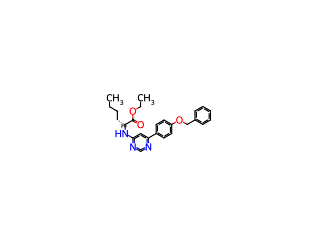 CCCC[C@@H](Nc1cc(-c2ccc(OCc3ccccc3)cc2)ncn1)C(=O)OCC